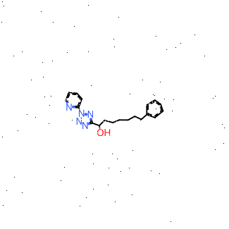 OC(CCCCCCc1ccccc1)c1nnn(-c2ccccn2)n1